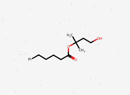 CC(C)CCCCC(=O)OC(C)(C)CCO